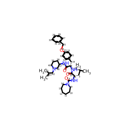 CC(C)C[C@H](NC(=O)N1CCCCCC1)C(=O)N[C@@H](Cc1ccc(OCc2ccccc2)cc1)C(=O)NC1CCCN(CC(C)C)C1